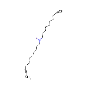 C#CCCCCCCCCN(I)CCCCCCCCC#CC